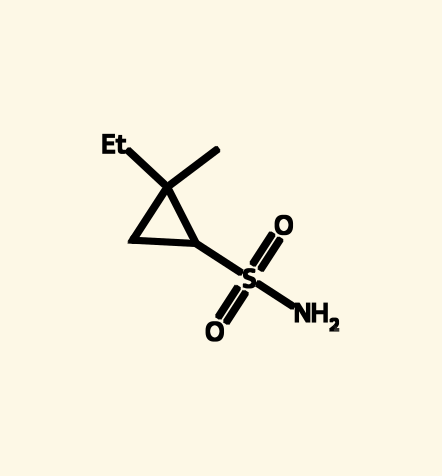 CCC1(C)CC1S(N)(=O)=O